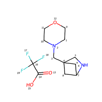 C1CN(CC23CNC(C2)C3)CCO1.O=C(O)C(F)(F)F